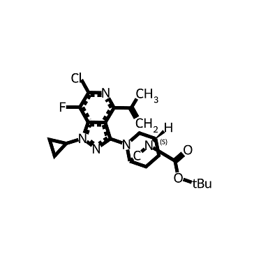 C=C(C)c1nc(Cl)c(F)c2c1c(N1C[C@@H]3CCC1CN3C(=O)OC(C)(C)C)nn2C1CC1